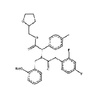 COc1ccccc1CN(C(=O)Cc1ccc(F)cc1F)C(C(=O)NCC1CCCO1)c1ccc(C)cc1